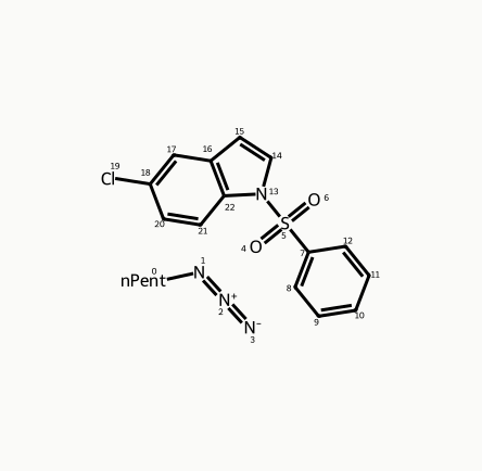 CCCCCN=[N+]=[N-].O=S(=O)(c1ccccc1)n1ccc2cc(Cl)ccc21